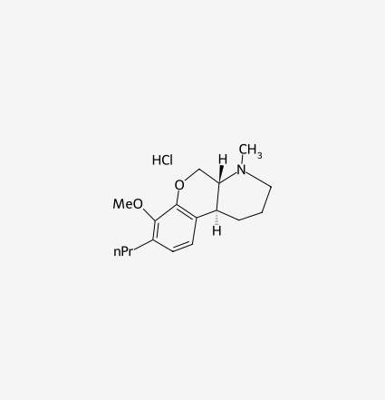 CCCc1ccc2c(c1OC)OC[C@H]1[C@H]2CCCN1C.Cl